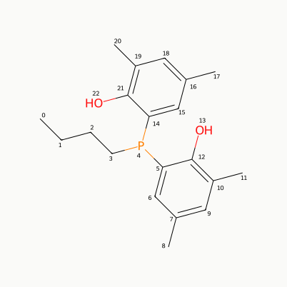 CCCCP(c1cc(C)cc(C)c1O)c1cc(C)cc(C)c1O